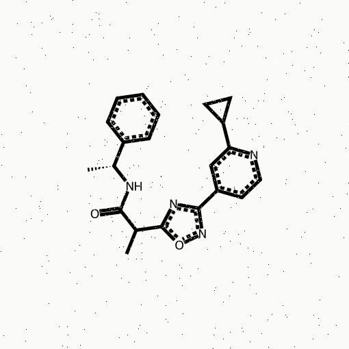 CC(C(=O)N[C@H](C)c1ccccc1)c1nc(-c2ccnc(C3CC3)c2)no1